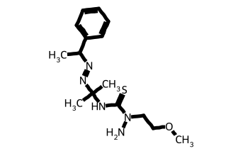 COCCN(N)C(=S)NC(C)(C)/N=N/C(C)c1ccccc1